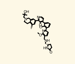 COc1nc(-c2cccc(-c3ccnc(-c4cc(F)c5c(c4)CN(CC(C)(C)O)CC5)c3Cl)c2Cl)ccc1CNC[C@@H]1CCC(=O)N1